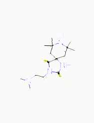 CN(C)CCN1C(=S)NC2(CC(C)(C)NC(C)(C)C2)C1=S